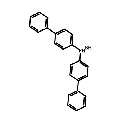 B.c1ccc(-c2ccc(Pc3ccc(-c4ccccc4)cc3)cc2)cc1